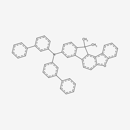 CC1(C)c2ccc(N(c3cccc(-c4ccccc4)c3)c3cccc(-c4ccccc4)c3)cc2-c2ccc3oc4ccccc4c3c21